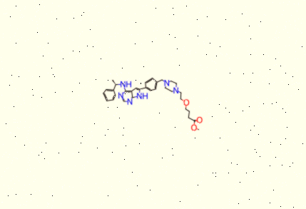 COC(=O)CCCOCCN1CCN(Cc2ccc(-c3cc4c(N[C@H](C)c5ccccc5)ncnc4[nH]3)cc2)CC1